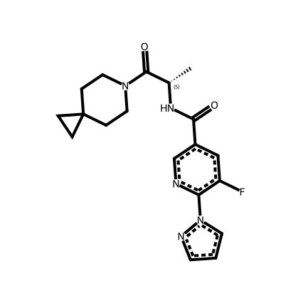 C[C@H](NC(=O)c1cnc(-n2cccn2)c(F)c1)C(=O)N1CCC2(CC1)CC2